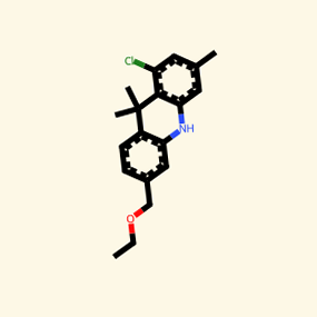 CCOCc1ccc2c(c1)Nc1cc(C)cc(Cl)c1C2(C)C